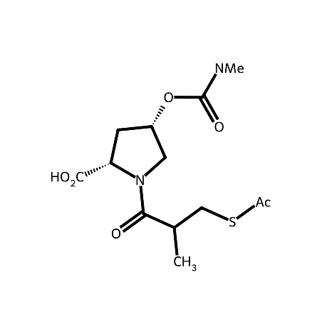 CNC(=O)O[C@H]1C[C@@H](C(=O)O)N(C(=O)C(C)CSC(C)=O)C1